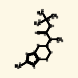 Cc1cc2c(s1)CCC(N(C)C(=O)OC(C)(C)C)C2